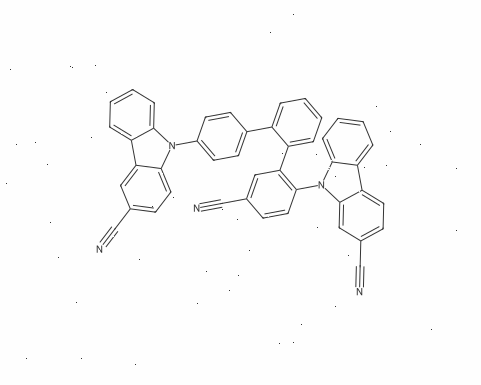 N#Cc1ccc(-n2c3ccccc3c3ccc(C#N)cc32)c(-c2ccccc2-c2ccc(-n3c4ccccc4c4cc(C#N)ccc43)cc2)c1